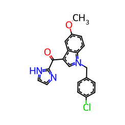 COc1ccc2c(c1)c(C(=O)c1ncc[nH]1)cn2Cc1ccc(Cl)cc1